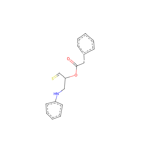 O=C(Cc1ccccc1)OC([C]=S)CNc1ccccc1